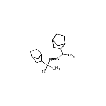 CC(N=NC(C)(Cl)C1CC2CCC1C2)C1CC2CCC1C2